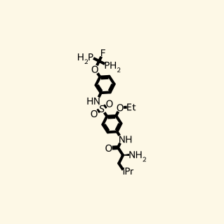 CCOc1cc(NC(=O)[C@@H](N)CC(C)C)ccc1S(=O)(=O)Nc1cccc(OC(F)(P)P)c1